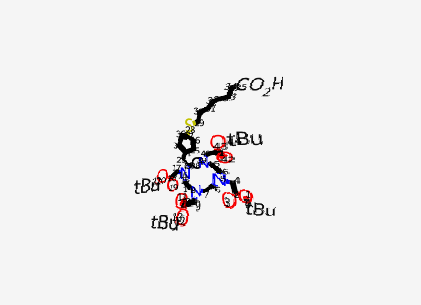 CC(C)(C)OC(=O)CN1CCN(CC(=O)OC(C)(C)C)CCN(CC(=O)OC(C)(C)C)[C@@H](Cc2ccc(SCCCCCCC(=O)O)cc2)CN(CC(=O)OC(C)(C)C)CC1